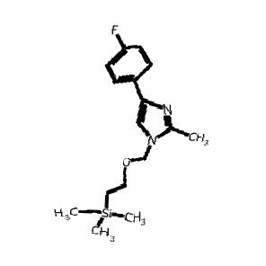 Cc1nc(-c2ccc(F)cc2)cn1COCC[Si](C)(C)C